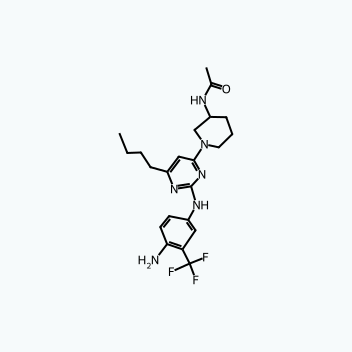 CCCCc1cc(N2CCCC(NC(C)=O)C2)nc(Nc2ccc(N)c(C(F)(F)F)c2)n1